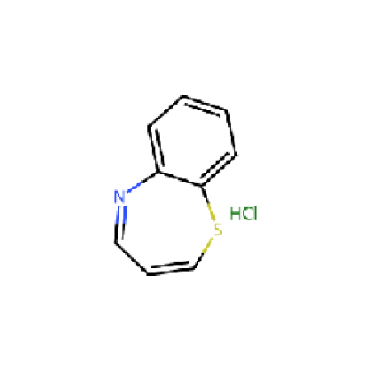 C1=CSc2ccccc2N=C1.Cl